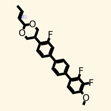 C/C=C/C1OCC(c2ccc(-c3ccc(-c4ccc(OC)c(F)c4F)cc3)cc2F)CO1